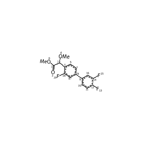 COC(=O)C(OC)c1ccc(-c2ccc(F)c(F)c2)cc1F